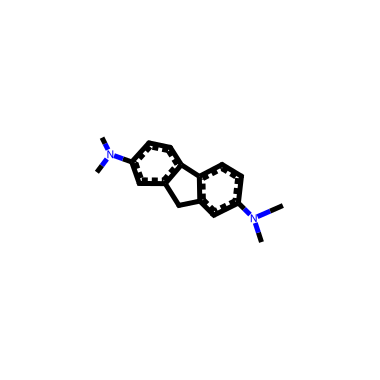 CN(C)c1[c]c2c(cc1)-c1ccc(N(C)C)cc1C2